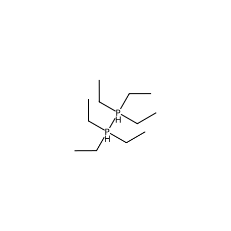 CC[PH](CC)(CC)[PH](CC)(CC)CC